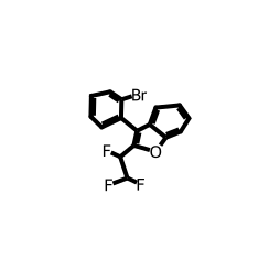 FC(F)C(F)c1oc2ccccc2c1-c1ccccc1Br